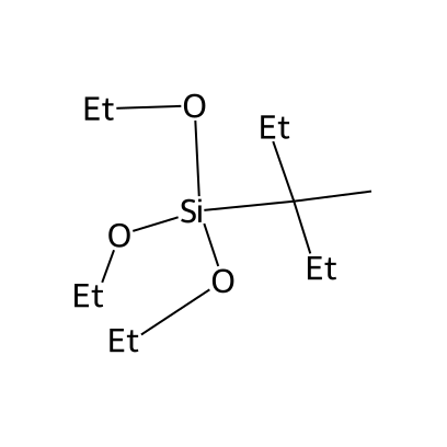 CCO[Si](OCC)(OCC)C(C)(CC)CC